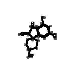 CC(C)N1CCC2(CC1)C(=O)Nc1c(I)cc(Cl)cc12